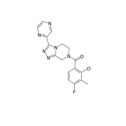 Cc1c(F)ccc(C(=O)N2CCn3c(nnc3-c3cnccn3)C2)c1Cl